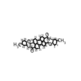 Cc1cccc(CN2C(=O)c3ccc4c5ccc6c7c(ccc(c8ccc(c3c48)C2=O)c75)C(=O)N(Cc2cccc(C)c2)C6=O)c1